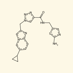 Nc1ncc(CNC(=O)c2cn(Cc3cn4cc(C5CC5)ccc4n3)nn2)s1